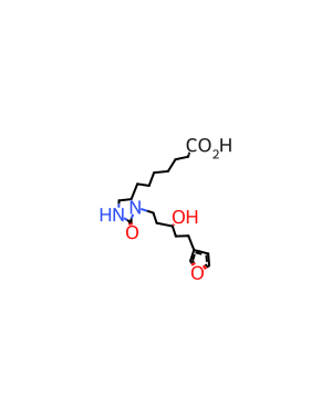 O=C(O)CCCCCCC1CNC(=O)N1CCC(O)CCc1ccoc1